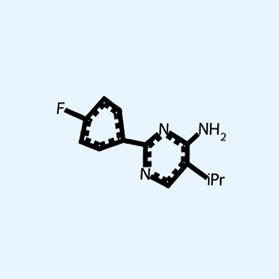 CC(C)c1cnc(-c2ccc(F)cc2)nc1N